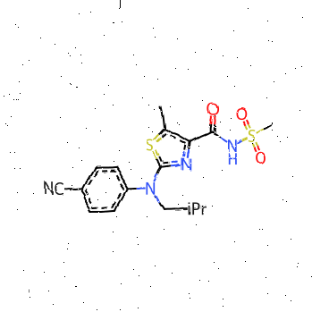 Cc1sc(N(CC(C)C)c2ccc(C#N)cc2)nc1C(=O)NS(C)(=O)=O